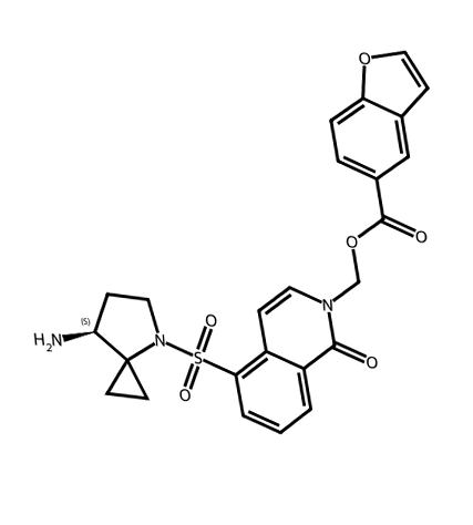 N[C@H]1CCN(S(=O)(=O)c2cccc3c(=O)n(COC(=O)c4ccc5occc5c4)ccc23)C12CC2